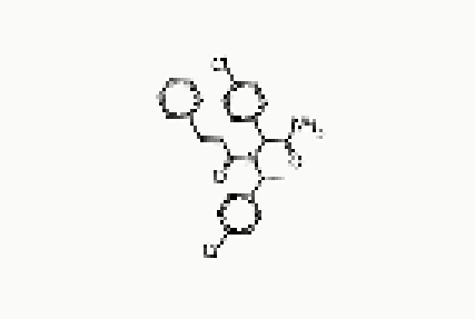 C[C@H](c1ccc(Cl)cc1)N(C(=O)/C=C/c1ccccc1)[C@H](C(N)=O)c1ccc(Cl)cc1